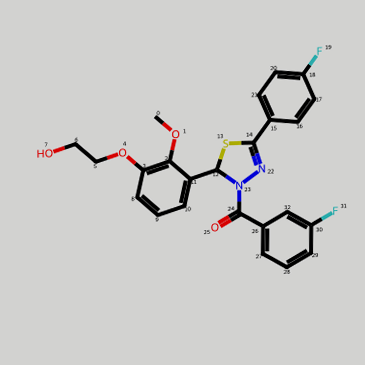 COc1c(OCCO)cccc1C1SC(c2ccc(F)cc2)=NN1C(=O)c1cccc(F)c1